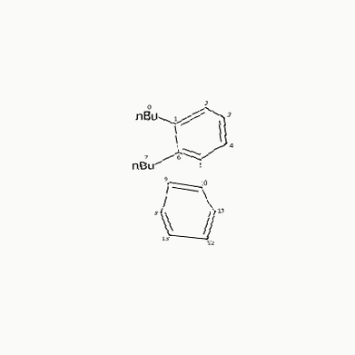 CCCCc1ccccc1CCCC.c1ccccc1